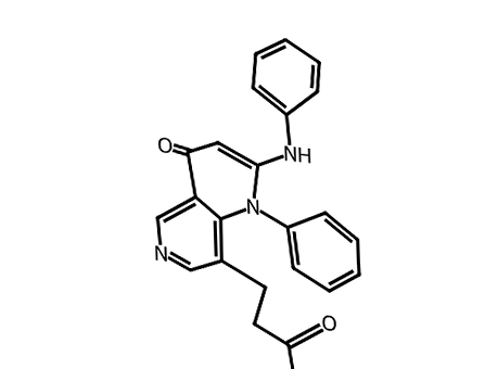 COC(=O)CCc1cncc2c(=O)cc(Nc3ccccc3)n(-c3ccccc3)c12